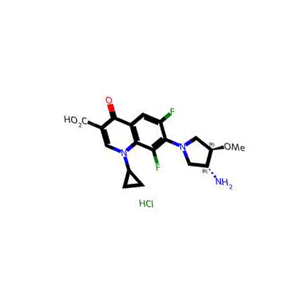 CO[C@@H]1CN(c2c(F)cc3c(=O)c(C(=O)O)cn(C4CC4)c3c2F)C[C@H]1N.Cl